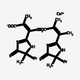 C/C(C(=O)[O-])=C(\C)C1=NC(=S)C(C)(C(C)C)N1.C/C(C(=O)[O-])=C(\C)C1=NC(=S)C(C)(C(C)C)N1.[Ca+2]